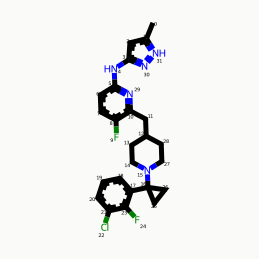 Cc1cc(Nc2ccc(F)c(CC3CCN(C4(c5cccc(Cl)c5F)CC4)CC3)n2)n[nH]1